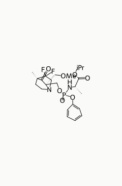 COC[C@@]1(COP(=O)(N[C@@H](C)C(=O)OC(C)C)Oc2ccccc2)C(=O)[C@@]2(C)CCN1CC2(F)F